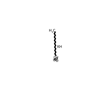 CCCCCCCCCCCCCCCCOS(=O)(=O)F.[KH]